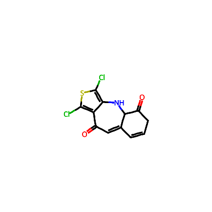 O=C1C=C2C=CCC(=O)C2Nc2c(Cl)sc(Cl)c21